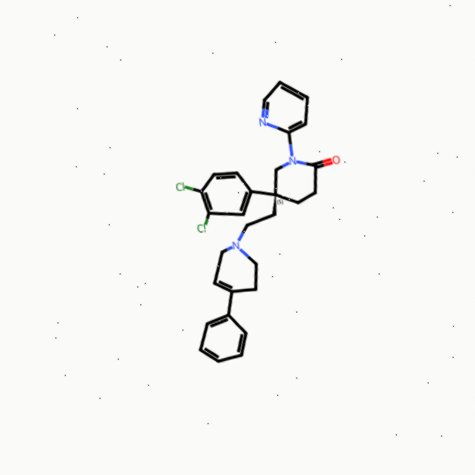 O=C1CC[C@](CCN2CC=C(c3ccccc3)CC2)(c2ccc(Cl)c(Cl)c2)CN1c1ccccn1